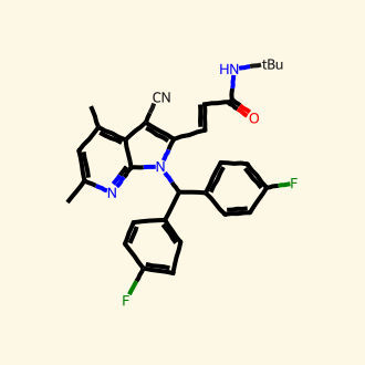 Cc1cc(C)c2c(C#N)c(C=CC(=O)NC(C)(C)C)n(C(c3ccc(F)cc3)c3ccc(F)cc3)c2n1